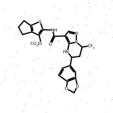 CCOC(=O)c1c(NC(=O)c2cnn3c2NC(c2ccc4c(c2)OCO4)CC3C(F)(F)F)sc2c1CCC2